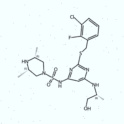 C[C@H](CO)Nc1cc(NS(=O)(=O)N2C[C@@H](C)N[C@@H](C)C2)nc(SCc2cccc(Cl)c2F)n1